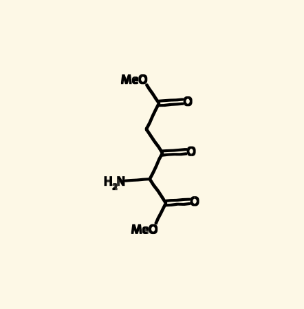 COC(=O)CC(=O)C(N)C(=O)OC